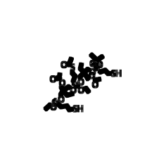 CCO[Si](C)(CCCS)OCC(CC)(COC(C)=O)CO[Si](CCCSC(C)=O)(OCC)OCC(CC)(COC(C)=O)CO[Si](CCCS)(OCC)OCC